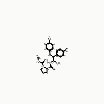 CC(NC(=O)[C@H]1CCCN1C(=O)OC(C)(C)C)C(Cc1ccc(Cl)cc1)c1ccc(Cl)cc1